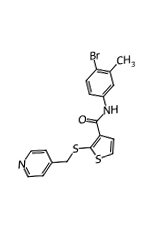 Cc1cc(NC(=O)c2ccsc2SCc2ccncc2)ccc1Br